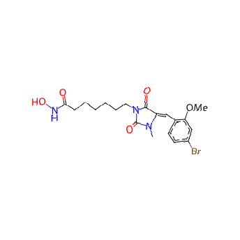 COc1cc(Br)ccc1/C=C1/C(=O)N(CCCCCCC(=O)NO)C(=O)N1C